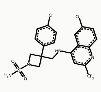 NS(=O)(=O)N1CC(CNc2cc(C(F)(F)F)nc3ccc(Cl)cc23)(c2ccc(Cl)cc2)C1